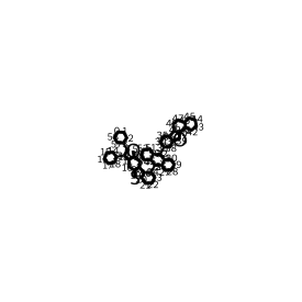 c1ccc(-c2oc3cc4c(cc3c2-c2ccccc2)sc2cccc(-c3c5ccccc5c(-c5ccc6c(c5)oc5c7ccccc7ccc65)c5ccccc35)c24)cc1